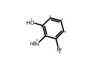 CCCCc1c(O)cccc1Br